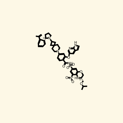 C=C(C)c1ccccc1[C@@H]1CCCN1C1CC2(CCN(c3ccc(C(=O)NS(=O)(=O)c4cc5c(c([N+](=O)[O-])c4)N[C@@H](COC(C)C)CO5)c(Oc4cnc5[nH]ccc5c4)c3)CC2)C1